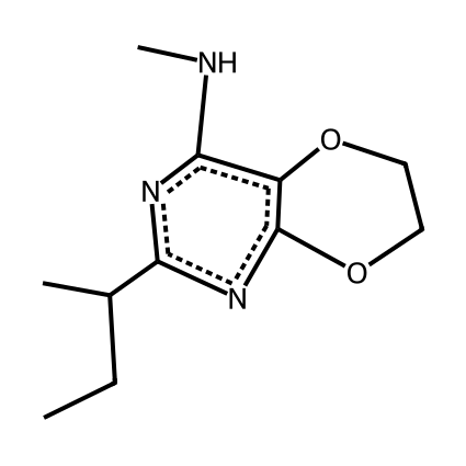 CCC(C)c1nc(NC)c2c(n1)OCCO2